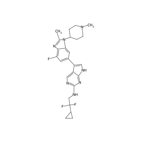 Cc1nc2c(F)cc(-c3c[nH]c4nc(NCC(F)(F)C5CC5)ncc34)cc2n1C1CCN(C)CC1